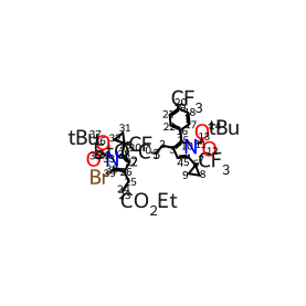 CCOC(=O)CCc1cc(C2(C(F)(F)F)CC2)n(C(=O)OC(C)(C)C)c1-c1ccc(C(F)(F)F)cc1.CCOC(=O)CCc1cc(C2(C(F)(F)F)CC2)n(C(=O)OC(C)(C)C)c1Br